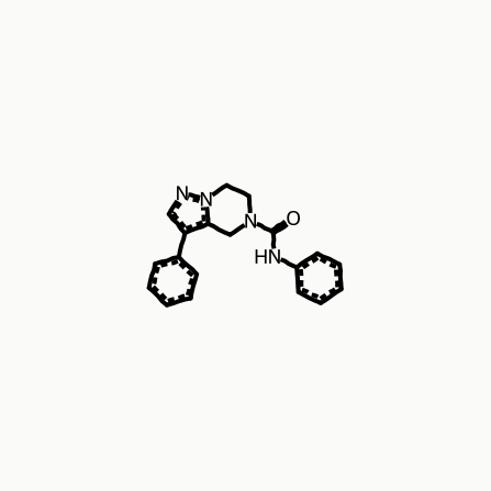 O=C(Nc1ccccc1)N1CCn2ncc(-c3ccccc3)c2C1